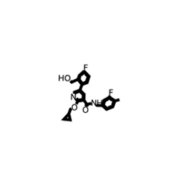 Cc1ccc(CNC(=O)c2cc(-c3ccc(F)cc3CO)cnc2OCC2CC2)cc1F